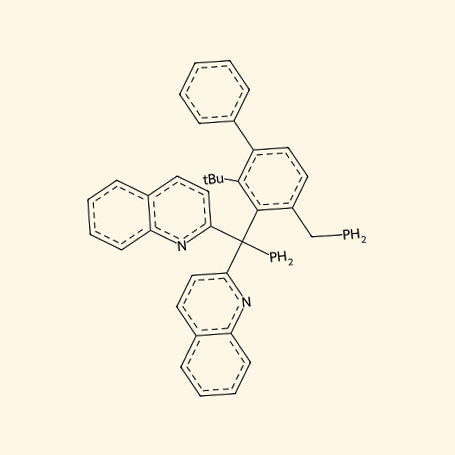 CC(C)(C)c1c(-c2ccccc2)ccc(CP)c1C(P)(c1ccc2ccccc2n1)c1ccc2ccccc2n1